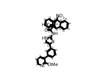 COc1ncccc1-c1cccc(-c2c[nH]c(NC(=O)C3(C)CC4([N+](=O)[O-])c5ccccc5C3c3ccccc34)n2)c1